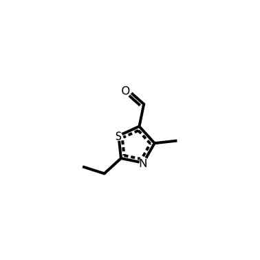 CCc1nc(C)c(C=O)s1